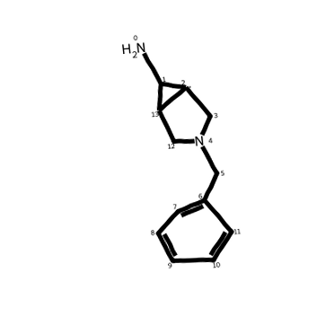 NC1[C]2CN(Cc3ccccc3)CC21